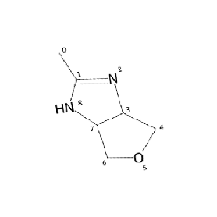 CC1=NC2COCC2N1